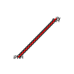 CC(C)CCCCNC(=O)CCOCCOCCOCCOCCOCCOCCOCCOCCOCCOCCOCCOCCOCCOCCOCCOCCOCCOCCOCCOCCOCCOCCOCCOCCOCCOCCOCCOCCOCCOCCOCCOCCOCCOCCOCCOCCNC(C)C